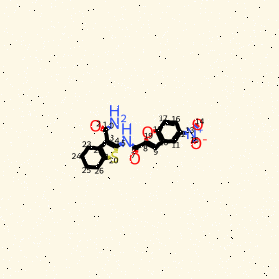 NC(=O)c1c(NC(=O)c2cc3cc([N+](=O)[O-])ccc3o2)sc2c1CCCC2